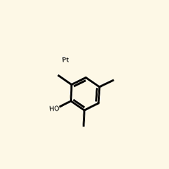 Cc1cc(C)c(O)c(C)c1.[Pt]